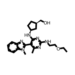 CCOCCNc1nc(C)c(-c2nc3ccccc3n2C)c(N[C@H]2CC[C@@H](CO)C2)n1